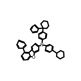 c1ccc(-c2cccc3oc4cc(N(c5ccc(C6CCCCC6)cc5)c5ccc(C6(c7ccccc7)CCCCC6)cc5)ccc4c23)cc1